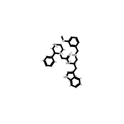 COc1cccc(CNCC(Cc2c[nH]c3ccccc23)NC(=O)CN2CCNCC2c2ccccc2)c1